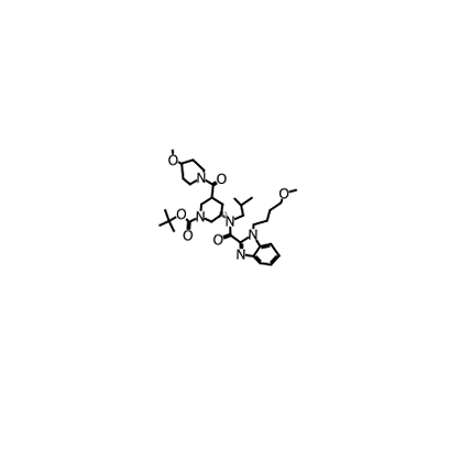 COCCCCn1c(C(=O)N(CC(C)C)[C@H]2CC(C(=O)N3CCC(OC)CC3)CN(C(=O)OC(C)(C)C)C2)nc2ccccc21